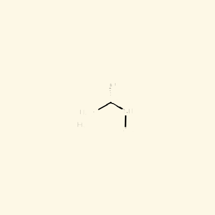 CC(C)[C@H](NC=O)C(=O)O.Cl